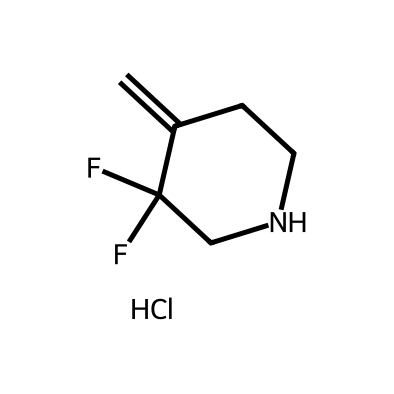 C=C1CCNCC1(F)F.Cl